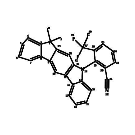 CC1(C)c2ccccc2-c2cc3c4ccccc4n(-c4c(C#N)cccc4C(F)(F)F)c3cc21